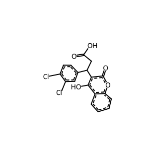 O=C(O)CC(c1ccc(Cl)c(Cl)c1)c1c(O)c2ccccc2oc1=O